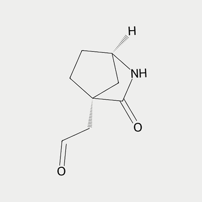 O=CC[C@]12CC[C@H](C1)NC2=O